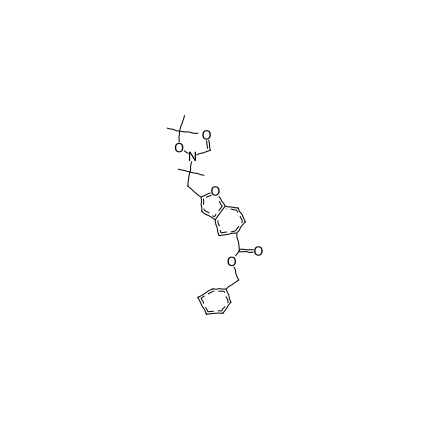 CC(C)(C)ON(C=O)C(C)(C)Cc1cc2cc(C(=O)OCc3ccccc3)ccc2o1